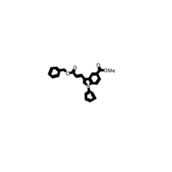 COC(=O)c1ccc2c(c1)c(/C=C/C(=O)OCc1ccccc1)cn2-c1ccccc1